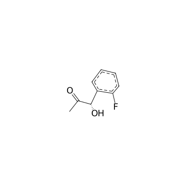 CC(=O)[C@@H](O)c1ccccc1F